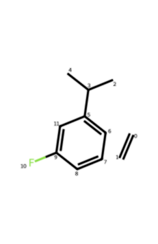 C=C.CC(C)c1cccc(F)c1